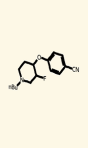 CCCCN1CCC(Oc2ccc(C#N)cc2)C(F)C1